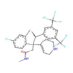 CNC(=O)CC(C1=CCNCC1)(c1ccc(F)cc1C)C(C)c1cc(C(F)(F)F)cc(C(F)(F)F)c1